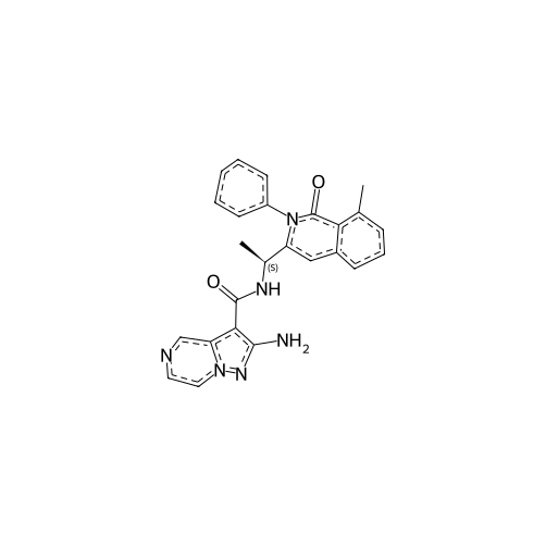 Cc1cccc2cc([C@H](C)NC(=O)c3c(N)nn4ccncc34)n(-c3ccccc3)c(=O)c12